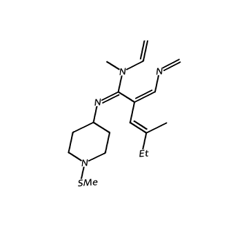 C=CN(C)C(=N/C1CCN(SC)CC1)/C(=C\N=C)/C=C(\C)CC